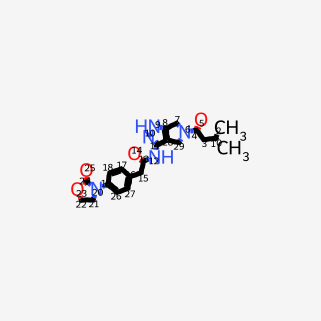 CC(C)CC(=O)N1Cc2[nH]nc(NC(=O)Cc3ccc(N4CCOC4=O)cc3)c2C1